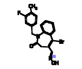 Cc1ccc(CN2C(=O)CC(/C=N/O)=C(Br)c3ccccc32)cc1F